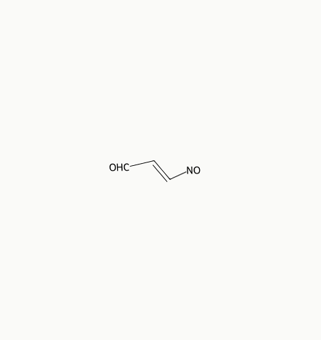 O=C/C=C/N=O